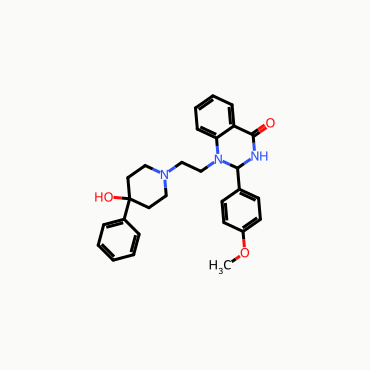 COc1ccc(C2NC(=O)c3ccccc3N2CCN2CCC(O)(c3ccccc3)CC2)cc1